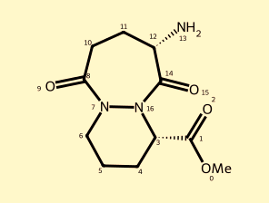 COC(=O)[C@@H]1CCCN2C(=O)CC[C@H](N)C(=O)N12